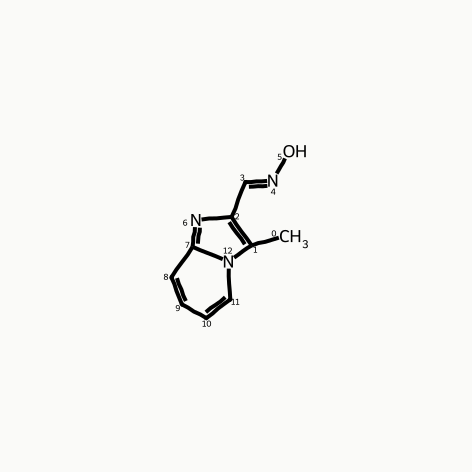 Cc1c(C=NO)nc2ccccn12